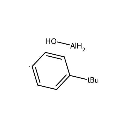 CC(C)(C)c1cc[c]cc1.[OH][AlH2]